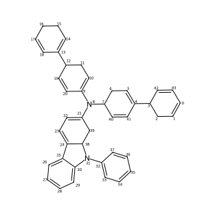 C1=CCC(C2=CCC(N(C3=CCC(C4=CCCC=C4)C=C3)C3=CC=C4c5ccccc5N(c5ccccc5)C4C3)C=C2)C=C1